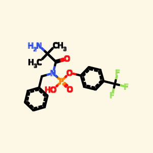 CC(C)(N)C(=O)N(Cc1ccccc1)P(=O)(O)Oc1ccc(C(F)(F)F)cc1